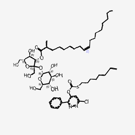 CCCCCCCC/C=C\CCCCCCC(C)C(=O)O[C@H]1[C@H](O)[C@@H](CO)O[C@@]1(CO)O[C@H]1O[C@H](CO)[C@@H](O)[C@H](O)[C@H]1O.CCCCCCCCSC(=O)Oc1cc(Cl)nnc1-c1ccccc1